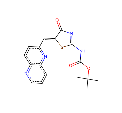 CC(C)(C)OC(=O)NC1=NC(=O)C(=Cc2ccc3ncccc3n2)S1